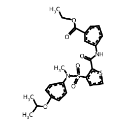 CCOC(=O)c1cccc(NC(=O)c2sccc2S(=O)(=O)N(C)c2ccc(OC(C)C)cc2)c1